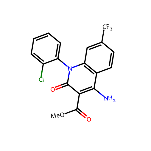 COC(=O)c1c(N)c2ccc(C(F)(F)F)cc2n(-c2ccccc2Cl)c1=O